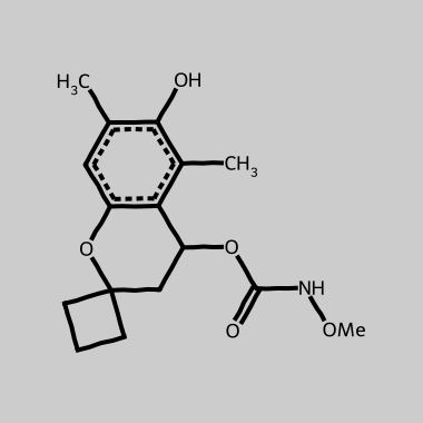 CONC(=O)OC1CC2(CCC2)Oc2cc(C)c(O)c(C)c21